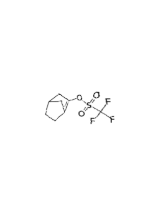 O=S(=O)(OC1=C2CCC(C2)C1)C(F)(F)F